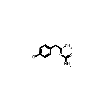 C[C@@H](Cc1ccc(Cl)cc1)OC(N)=S